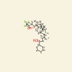 C[C@H](CCC(O)C1CCCCC1)[C@H]1CC[C@H]2[C@@H]3CCC4CCC(C(O)C(F)(F)F)C[C@]4(C)C3CC[C@]12C